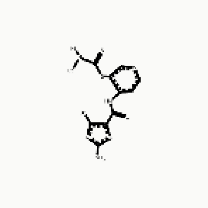 CCN(CC)C(=S)Sc1cnccc1NC(=O)c1sc(N)nc1Br